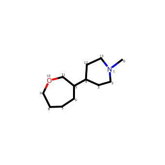 CN1CCC(C2CCCCOC2)CC1